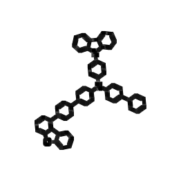 c1ccc(-c2ccc(N(c3ccc(-c4ccc(-c5cccc6oc7ccccc7c56)cc4)cc3)c3ccc(-n4c5ccccc5c5ccccc54)cc3)cc2)cc1